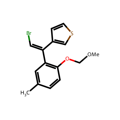 COCOc1ccc(C)cc1C(=CBr)c1ccsc1